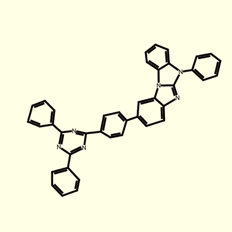 c1ccc(-c2nc(-c3ccccc3)nc(-c3ccc(-c4ccc5nc6n(-c7ccccc7)c7ccccc7n6c5c4)cc3)n2)cc1